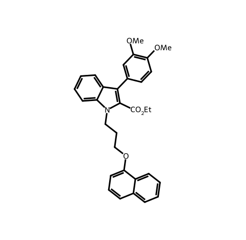 CCOC(=O)c1c(-c2ccc(OC)c(OC)c2)c2ccccc2n1CCCOc1cccc2ccccc12